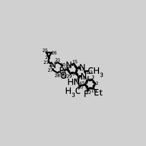 CCc1cccc([C@@H](C)Nc2nc(C)nc3cnc(P4(=O)CCN(CC5CC5)CC4)cc23)c1F